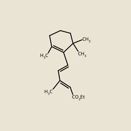 CCOC(=O)C=C(C)C=CC1=C(C)CCCC1(C)C